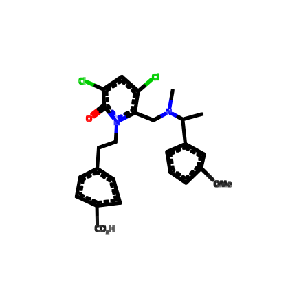 COc1cccc(C(C)N(C)Cc2c(Cl)cc(Cl)c(=O)n2CCc2ccc(C(=O)O)cc2)c1